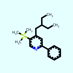 CCC(CC)Cc1cc(-c2ccccc2)ncc1S(C)(C)C